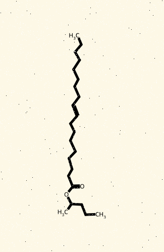 CCCCCCCCC=CCCCCCCCC(=O)OC(C)CCC